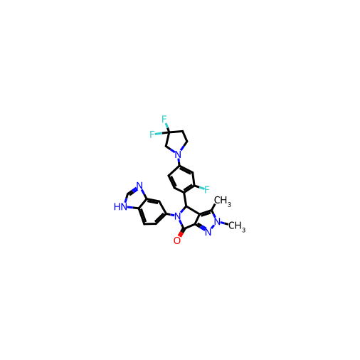 Cc1c2c(nn1C)C(=O)N(c1ccc3[nH]cnc3c1)C2c1ccc(N2CCC(F)(F)C2)cc1F